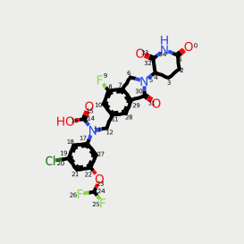 O=C1CCC(N2Cc3c(F)cc(CN(C(=O)O)c4cc(Cl)cc(OC(F)F)c4)cc3C2=O)C(=O)N1